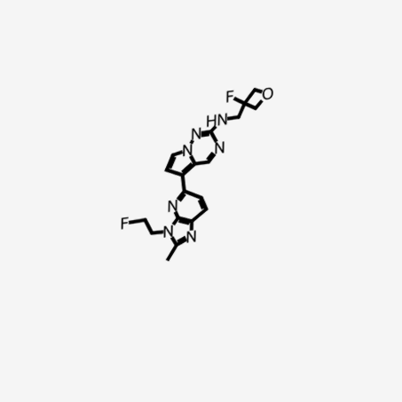 Cc1nc2ccc(-c3ccn4nc(NCC5(F)COC5)ncc34)nc2n1CCF